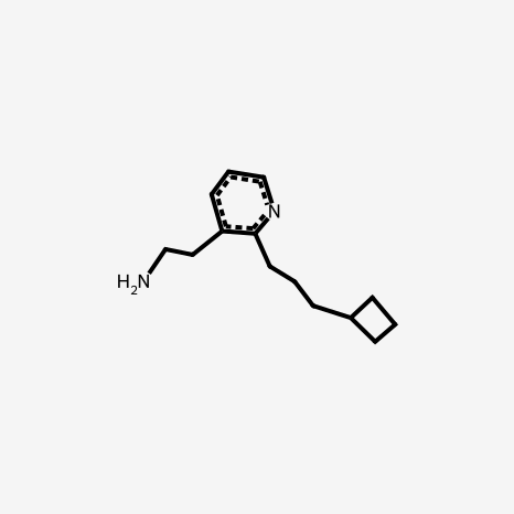 NCCc1cccnc1CCCC1CCC1